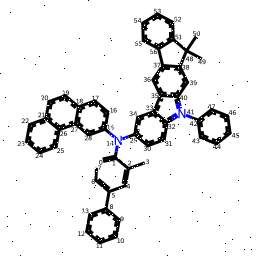 C=C(/C(C)=C\C(=C/C)c1ccccc1)N(c1ccc2ccc3ccccc3c2c1)c1ccc2c(c1)c1cc3c(cc1n2-c1ccccc1)C(C)(C)c1ccccc1-3